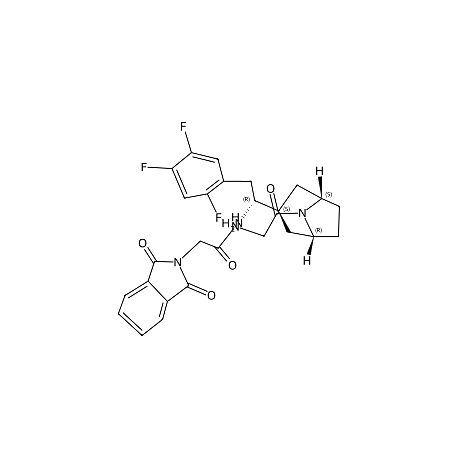 N[C@H](Cc1cc(F)c(F)cc1F)[C@@H]1C[C@H]2CC[C@@H](C1)N2C(=O)CNC(=O)CN1C(=O)c2ccccc2C1=O